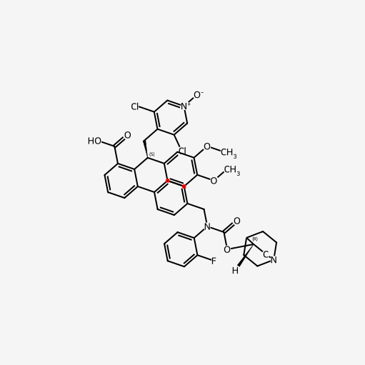 COc1ccc([C@H](Cc2c(Cl)c[n+]([O-])cc2Cl)c2c(C(=O)O)cccc2-c2ccc(CN(C(=O)O[C@H]3CN4CCC3CC4)c3ccccc3F)cc2)cc1OC